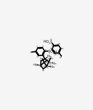 Cc1ccc(S(=O)(=O)O)c([C@H]2C[C@H]3C[C@@H]([C@@H]2C)C3(C)C)c1.Cc1ccc(S(=O)(=O)O)cc1